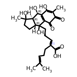 CC(C)=CCC/C(=C\CCC1(C)C2=C(C(O)=C(C)C(=O)C2=O)[C@H](O)[C@H]2[C@H]1CCC2(C)O)C(=O)O